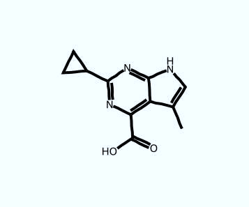 Cc1c[nH]c2nc(C3CC3)nc(C(=O)O)c12